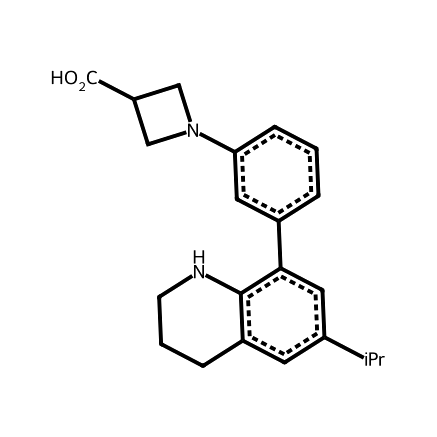 CC(C)c1cc2c(c(-c3cccc(N4CC(C(=O)O)C4)c3)c1)NCCC2